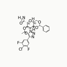 CC(=O)O[C@@H]1[C@@H](n2cc(-c3cc(F)c(Cl)c(F)c3)nn2)[C@H]2OC(c3ccccc3)OC[C@H]2O[C@H]1C(N)=O